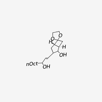 CCCCCCCCC(O)C=CC1C[C@H]2[C@@H](CC23OCCO3)C1O